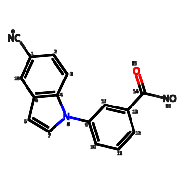 N#Cc1ccc2c(ccn2-c2cccc(C(=O)N=O)c2)c1